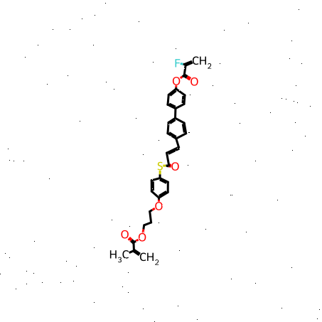 C=C(C)C(=O)OCCCOc1ccc(SC(=O)/C=C/c2ccc(-c3ccc(OC(=O)C(=C)F)cc3)cc2)cc1